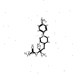 CC(C)(CC1CCN(c2ccc(N)cc2)CC1)OC(N)=O